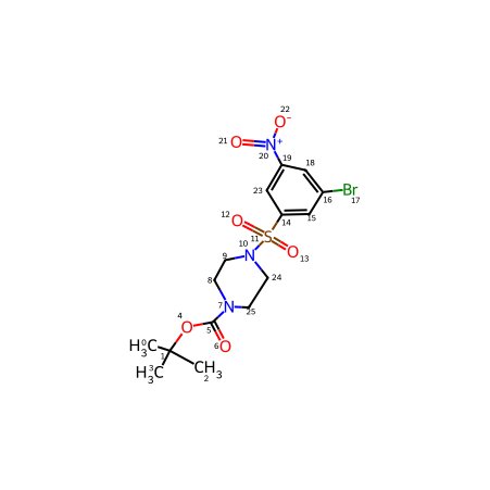 CC(C)(C)OC(=O)N1CCN(S(=O)(=O)c2cc(Br)cc([N+](=O)[O-])c2)CC1